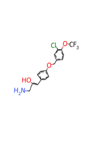 NCC(O)=Cc1ccc(OCc2ccc(OC(F)(F)F)c(Cl)c2)cc1